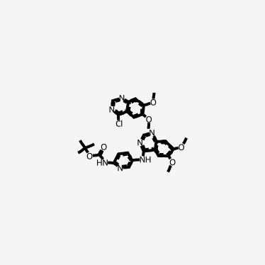 COc1cc2ncnc(Cl)c2cc1OC.COc1cc2ncnc(Nc3ccc(NC(=O)OC(C)(C)C)nc3)c2cc1OC